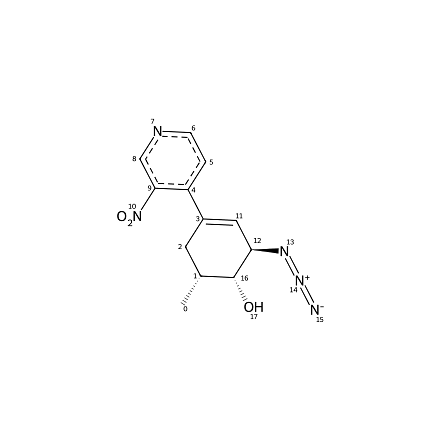 C[C@@H]1CC(c2ccncc2[N+](=O)[O-])=C[C@@H](N=[N+]=[N-])[C@@H]1O